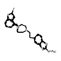 CC(=O)Nc1nc2ccc(CCN3CCN(c4cccc5sc(F)cc45)CC3)cc2s1